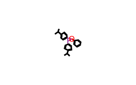 CC(C)c1ccc(P(Oc2ccccc2)c2ccc(C(C)C)cc2)cc1